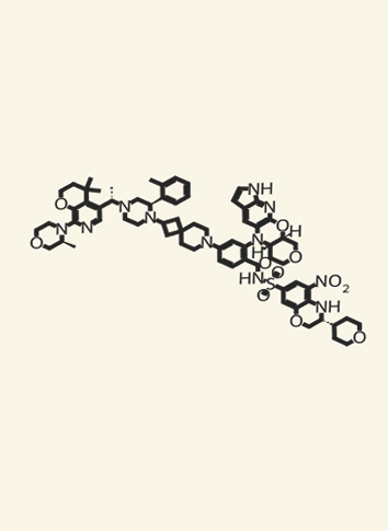 Cc1ccccc1[C@@H]1CN([C@@H](C)c2cnc(N3CCOC[C@@H]3C)c3c2C(C)(C)CCO3)CCN1C1CC2(CCN(c3ccc(C(=O)NS(=O)(=O)c4cc5c(c([N+](=O)[O-])c4)N[C@H](C4CCOCC4)CO5)c(N4c5cc6cc[nH]c6nc5O[C@H]5COCC[C@@H]54)c3)CC2)C1